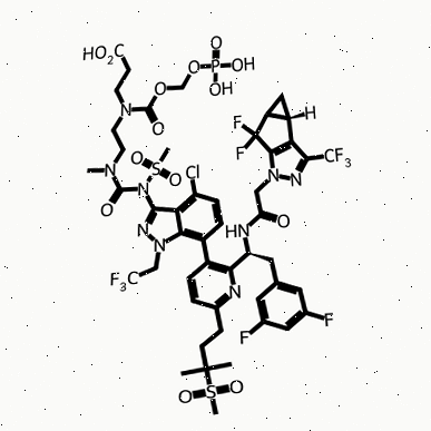 CN(CCN(CCC(=O)O)C(=O)OCOP(=O)(O)O)C(=O)N(c1nn(CC(F)(F)F)c2c(-c3ccc(CCC(C)(C)S(C)(=O)=O)nc3[C@H](Cc3cc(F)cc(F)c3)NC(=O)Cn3nc(C(F)(F)F)c4c3C(F)(F)C3C[C@H]43)ccc(Cl)c12)S(C)(=O)=O